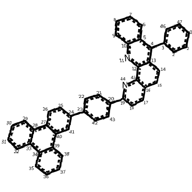 c1ccc(-c2c3ccccc3nc3c2ccc2ccc(-c4ccc(-c5ccc6c7ccccc7c7ccccc7c6c5)cc4)nc23)cc1